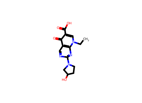 CCn1cc(C(=O)O)c(=O)c2cnc(N3CCC(O)C3)nc21